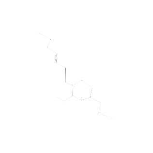 CCCC=CCCN1CCC(CCO)CC1CC